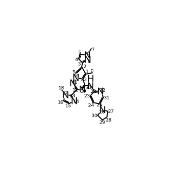 Cc1c(-c2ccn(C)n2)cn2nc(-c3nccn3C)nc(Nc3ccc(N4CCCC4)cn3)c12